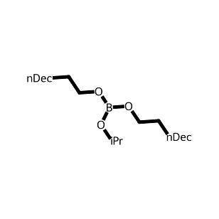 CCCCCCCCCCCCOB(OCCCCCCCCCCCC)OC(C)C